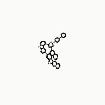 c1ccc(-c2ccc(-c3nc(-c4ccc5ccccc5c4)nc(-c4cccc5oc6ccc(-c7ccc8c(c7)oc7cc9ccccc9cc78)cc6c45)n3)cc2)cc1